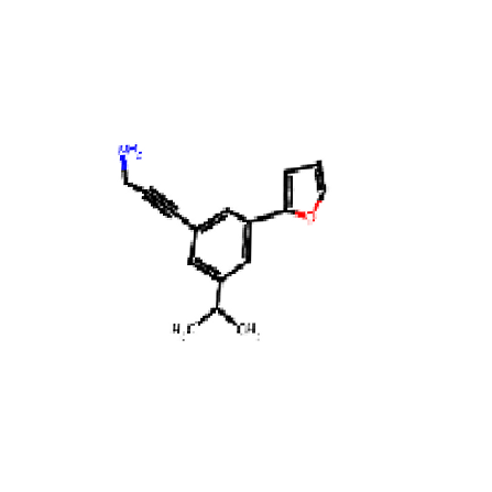 CC(C)c1cc(C#CCN)cc(-c2ccco2)c1